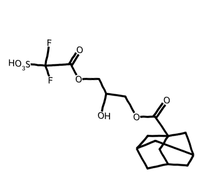 O=C(OCC(O)COC(=O)C(F)(F)S(=O)(=O)O)C12CC3CC(CC(C3)C1)C2